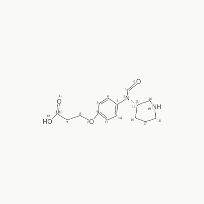 O=CN(c1ccc(OCCC(=O)O)cc1)[C@H]1CCCNC1